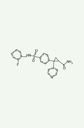 NC(=O)C1CC1(c1ccncc1)c1ccc(S(=O)(=O)NCc2ccccc2F)cc1